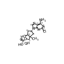 C[C@]1(COP(=O)(O)O)C[C@@H](n2cnc3c(N)nc(Cl)nc32)C[C@@H]1O